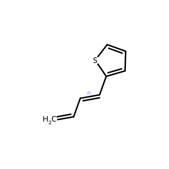 C=C/C=C/c1cccs1